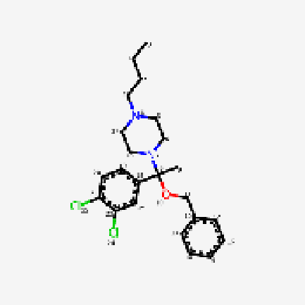 CCCCN1CCN(C(C)(OCc2ccccc2)c2ccc(Cl)c(Cl)c2)CC1